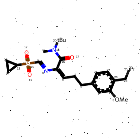 COc1cc(CC/C=C(/N=C/S(=O)(=O)C2CC2)C(=O)N(C)C(C)(C)C)ccc1CC(C)C